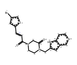 O=C(/C=C/c1cc(Br)cs1)N1CCN(Cc2cc3cnccc3[nH]2)C(=O)C1